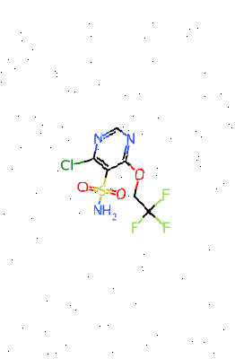 NS(=O)(=O)c1c(Cl)ncnc1OCC(F)(F)F